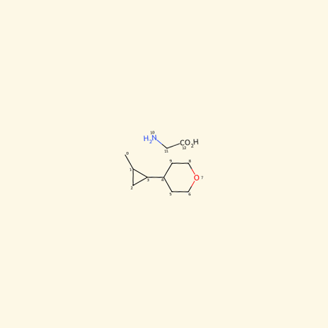 CC1CC1C1CCOCC1.NCC(=O)O